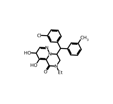 CCN1CC(C(c2cccc(C)c2)c2cccc(Cl)c2)N2N=CC(O)C(O)=C2C1=O